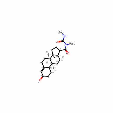 CC(C)(C)NC(=O)N(C(=O)C1CC[C@H]2[C@@H]3CCC4=CC(=O)CC[C@]4(C)[C@@H]3CC[C@]12C)C(C)(C)C